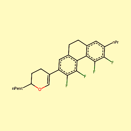 CCCCCC1CCC(c2cc3c(c(F)c2F)-c2c(cc(CCC)c(F)c2F)CC3)=CO1